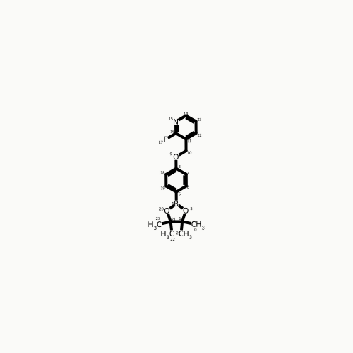 CC1(C)OB(c2ccc(OCc3cccnc3F)cc2)OC1(C)C